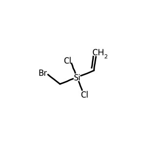 C=C[Si](Cl)(Cl)CBr